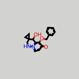 O=c1ccn2c(c1OCc1ccccc1)C(O)C1(CC1)CN2